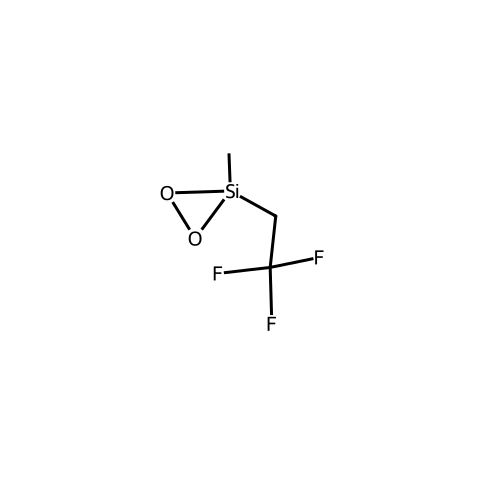 C[Si]1(CC(F)(F)F)OO1